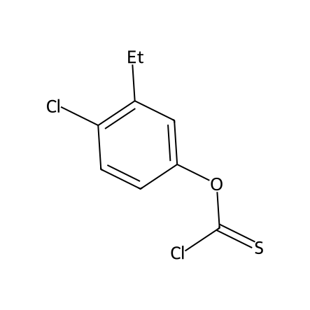 CCc1cc(OC(=S)Cl)ccc1Cl